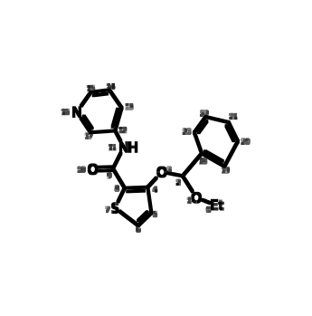 CCOC(Oc1ccsc1C(=O)Nc1cccnc1)c1ccccc1